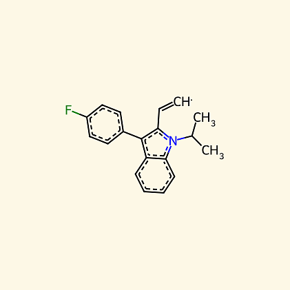 [CH]=Cc1c(-c2ccc(F)cc2)c2ccccc2n1C(C)C